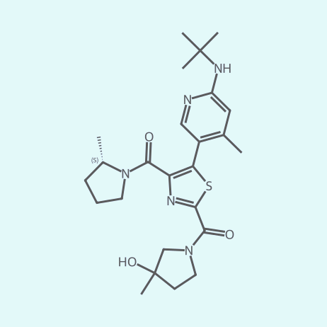 Cc1cc(NC(C)(C)C)ncc1-c1sc(C(=O)N2CCC(C)(O)C2)nc1C(=O)N1CCC[C@@H]1C